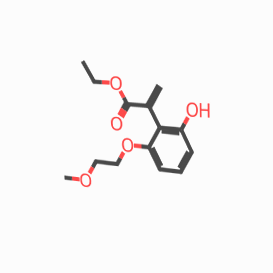 C=C(C(=O)OCC)c1c(O)cccc1OCCOC